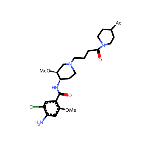 COc1cc(N)c(Cl)cc1C(=O)N[C@@H]1CCN(CCCC(=O)N2CCC(C(C)=O)CC2)C[C@@H]1OC